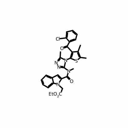 CCOC(=O)Cn1c(C(=O)N(C)c2nnc(C)n2-c2sc(C)c(C)c2C(=O)c2ccccc2Cl)cc2ccccc21